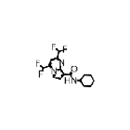 O=C(NC1CCCCC1)c1ccn2c(C(F)F)cc(C(F)F)nc12